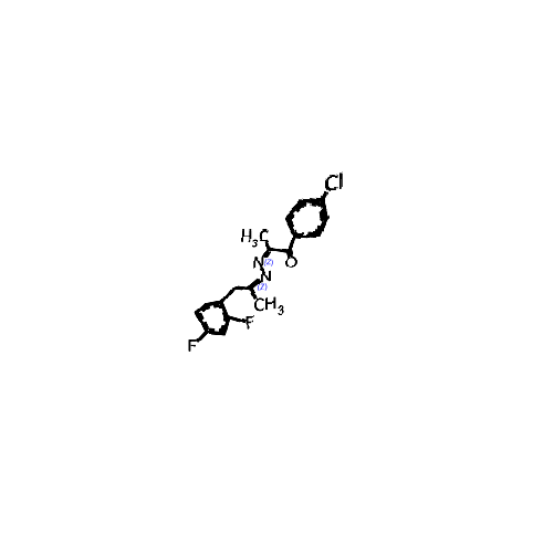 C/C(Cc1ccc(F)cc1F)=N/N=C(/C)C(=O)c1ccc(Cl)cc1